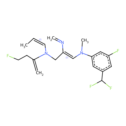 C=N/C(=C\N(C)c1cc(F)cc(C(F)F)c1)CN(/C=C\C)C(=C)CCF